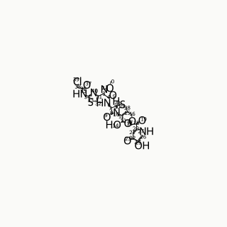 CO/N=C(\C(=O)N[C@@H]1C(=O)N2C(C(=O)O)=C(COC(=O)c3cc(=O)c(O)c[nH]3)CS[C@H]12)c1csc(NC(=O)CCl)n1